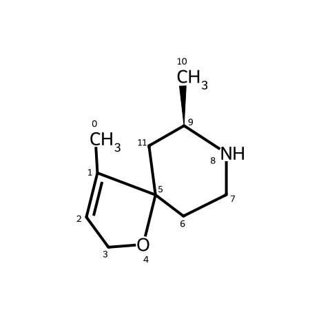 CC1=CCOC12CCN[C@H](C)C2